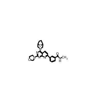 CNC(=O)c1cccc(-c2ccc3c(N4CC5CCC(C4)O5)nc(N4CCOCC4)nc3n2)c1